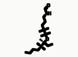 CCCC[Si](C)(C)[C@](C)(CC)O[Si](C)(C)C(C)(C)CCCNC=O